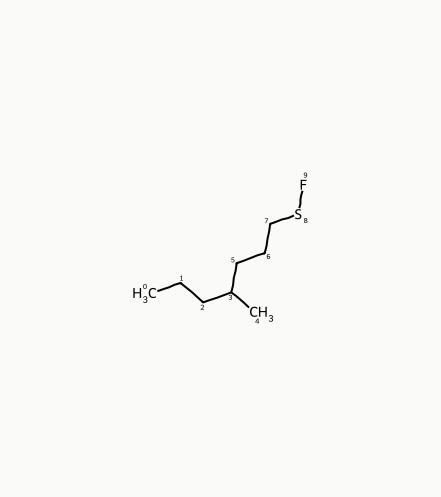 CCCC(C)CCCSF